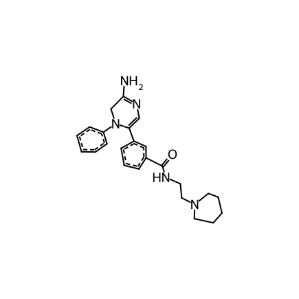 NC1=NC=C(c2cccc(C(=O)NCCN3CCCCC3)c2)N(c2ccccc2)C1